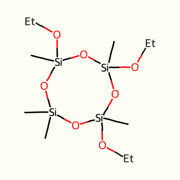 CCO[Si]1(C)O[Si](C)(C)O[Si](C)(OCC)O[Si](C)(OCC)O1